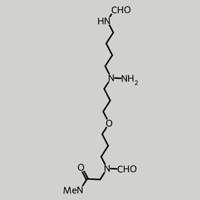 CNC(=O)CN(C=O)CCCOCCCN(N)CCCCNC=O